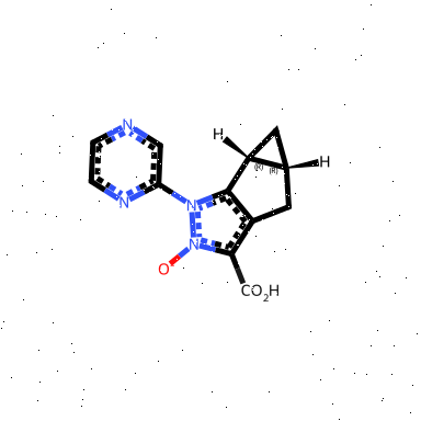 O=C(O)c1c2c(n(-c3cnccn3)[n+]1[O-])[C@@H]1C[C@@H]1C2